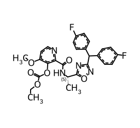 CCOC(=O)Oc1c(OC)ccnc1C(=O)N[C@@H](C)c1nc(C(c2ccc(F)cc2)c2ccc(F)cc2)no1